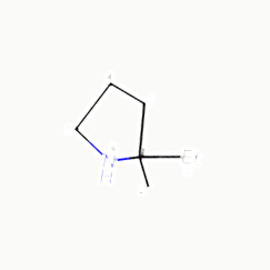 CCC1(C)CCCN1